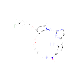 Nc1cc2ccc1-c1ccnc(n1)Nc1ccc(OCC3CC(F)(F)C3)c(c1)COCCCCNC2=O